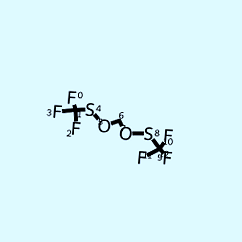 FC(F)(F)SOCOSC(F)(F)F